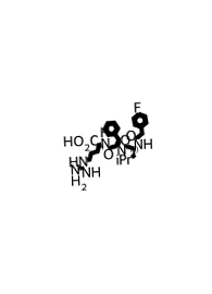 CC(C)C[C@H](NC(=O)Cc1ccc(F)cc1)c1nc(C(=O)N[C@@H](CCCNC(=N)N)C(=O)O)c(-c2ccccc2)o1